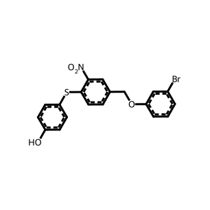 O=[N+]([O-])c1cc(COc2cccc(Br)c2)ccc1Sc1ccc(O)cc1